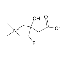 C[N+](C)(C)CC(O)(CF)CC(=O)[O-]